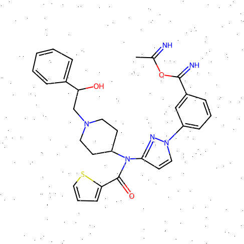 CC(=N)OC(=N)c1cccc(-n2ccc(N(C(=O)c3cccs3)C3CCN(CC(O)c4ccccc4)CC3)n2)c1